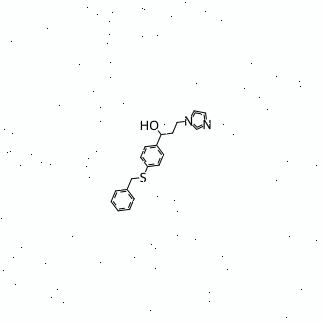 OC(CCn1ccnc1)c1ccc(SCc2ccccc2)cc1